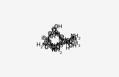 CC[C@H](C)[C@@H]1NC(=O)[C@H](Cc2ccc(O)cc2)NC(=O)CCC(=O)NC[C@@H](C(=O)N(CC(=O)N[C@H](C(=O)NCC(N)=O)[C@@H](C)O)C2CC2)NC(=O)[C@H](CC(N)=O)NC(=O)[C@H](CCC(N)=O)NC1=O